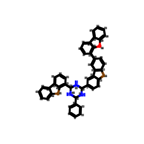 c1ccc(C2NC(c3ccc4sc5ccc(-c6cccc7c6oc6ccccc67)cc5c4c3)NC(c3cccc4c3sc3ccccc34)N2)cc1